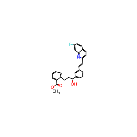 COC(=O)c1ccccc1CC[C@H](O)c1cccc(C=Cc2ccc3ccc(F)cc3n2)c1